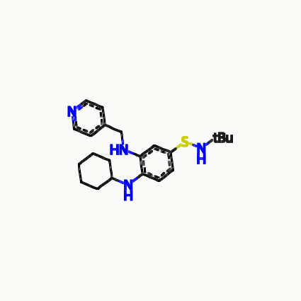 CC(C)(C)NSc1ccc(NC2CCCCC2)c(NCc2ccncc2)c1